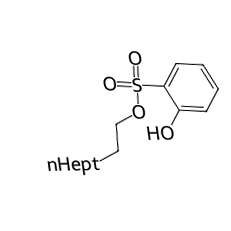 CCCCCCCCCOS(=O)(=O)c1ccccc1O